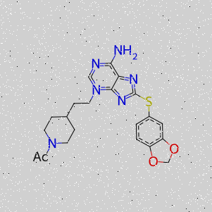 CC(=O)N1CCC(CCn2cnc(N)c3nc(Sc4ccc5c(c4)OCO5)nc2-3)CC1